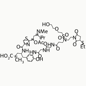 CCSC1CC(=O)N(CCN(CCC(=O)NCC(=O)NCC(=O)Nc2cc(CC(C[C@H](C)C(=O)O)NC(=O)c3csc([C@@H](C[C@@H](NC)C(C)C)OC(C)=O)n3)ccc2O)S(=O)(=O)CCOCCO)C1=O